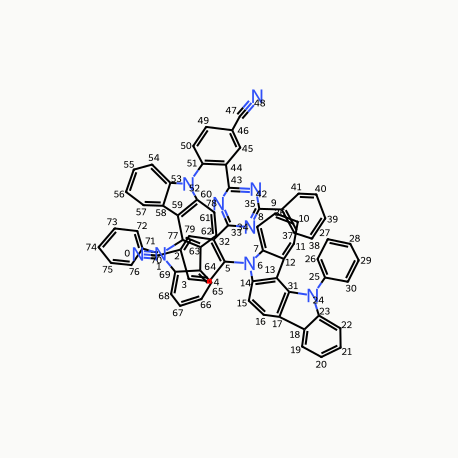 N#Cc1ccc(-n2c3ccccc3c3c2ccc2c4ccccc4n(-c4ccccc4)c23)c(-c2nc(-c3ccccc3)nc(-c3cc(C#N)ccc3-n3c4ccccc4c4c3ccc3c5ccccc5n(-c5ccccc5)c34)n2)c1